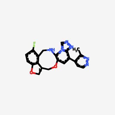 Cc1nnccc1-c1cc2c(n3cnnc13)NCc1c(F)ccc3c1[C@@H](CO3)CO2